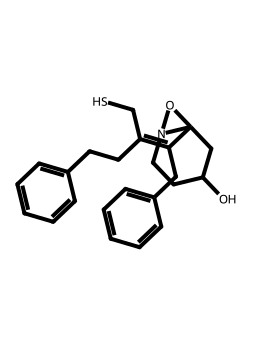 OC1CCN2OC2(/C(Cc2ccccc2)=C(\CS)CCc2ccccc2)C1